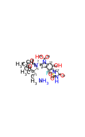 CCC(CC)CN(C[C@H]1Cc2c(cc(O)c(N3CC(=O)NS3(=O)=O)c2F)N1C(=O)O)C(=O)OC(C)(C)C.N